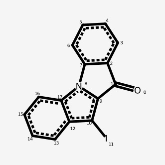 O=C1c2ccccc2-n2c1c(I)c1ccccc12